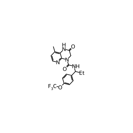 CCC(NC(=O)N1CC(=O)Nc2c(C)ccnc21)c1ccc(OC(F)(F)F)cc1